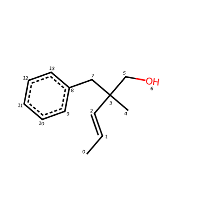 CC=CC(C)(CO)Cc1ccccc1